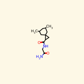 CC1CC(C)CC2(C1)CC2C(=O)NCC(N)=O